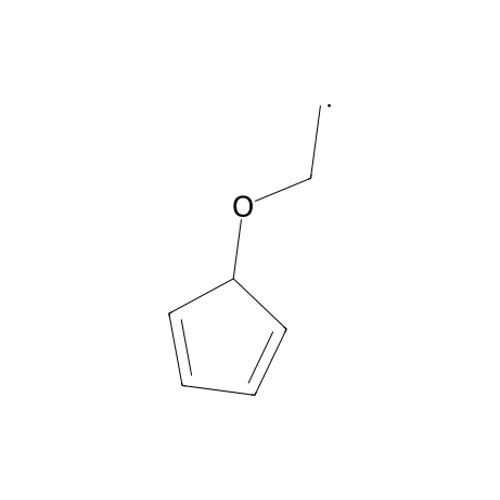 [CH2]COC1C=CC=C1